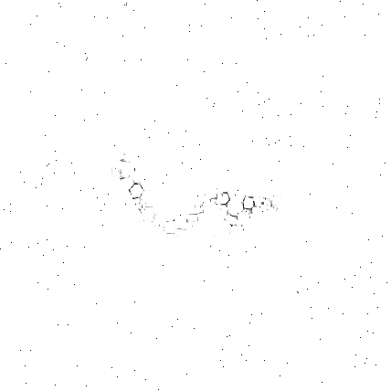 CCCS(=O)(=O)Nc1cccc(-c2nc(C(C)(C)C)sc2-c2ccnc(NC3CC4(C3)CN(CC3CCN(CC5CCN(c6ccc([C@H]7CCC(=O)NC7=O)cc6)CC5)CC3)C4)n2)c1F